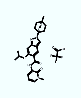 CC(C)Oc1cc2nn(C34CCC(C)(CC3)OC4)cc2cc1C(=O)Nc1cccn(C)c1=O.O=C(O)C(F)(F)F